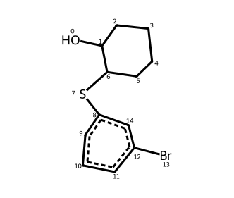 OC1CCCCC1Sc1cccc(Br)c1